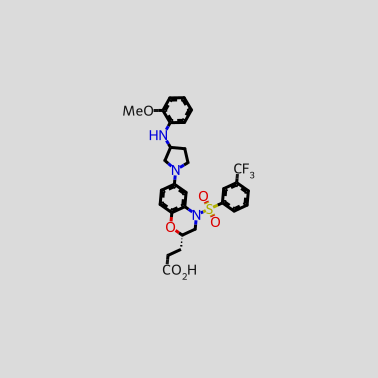 COc1ccccc1NC1CCN(c2ccc3c(c2)N(S(=O)(=O)c2cccc(C(F)(F)F)c2)C[C@H](CCC(=O)O)O3)C1